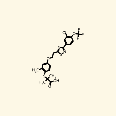 Cc1cc(OCCc2nc(-c3ccc(OC(F)(F)F)c(Cl)c3)ns2)ccc1SC(C)(C)C(=O)O